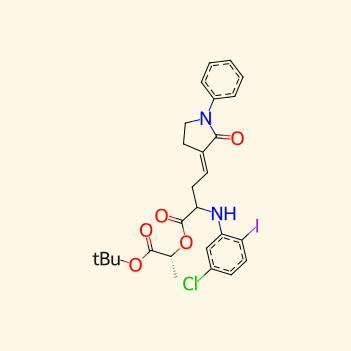 C[C@@H](OC(=O)C(C/C=C1\CCN(c2ccccc2)C1=O)Nc1cc(Cl)ccc1I)C(=O)OC(C)(C)C